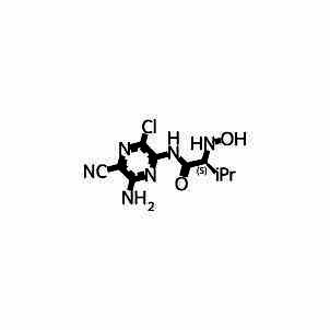 CC(C)[C@H](NO)C(=O)Nc1nc(N)c(C#N)nc1Cl